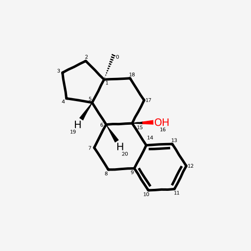 C[C@@]12CCC[C@H]1[C@H]1CCc3ccccc3[C@@]1(O)CC2